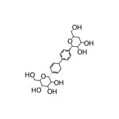 OCC1CC(O)C(O)[C@@H](c2ccc(C3C=CC([C@H]4OC(CO)[C@@H](O)C(O)C4O)=CC3)cc2)O1